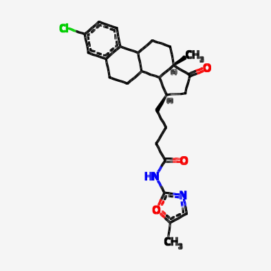 Cc1cnc(NC(=O)CCC[C@@H]2CC(=O)[C@@]3(C)CCC4c5ccc(Cl)cc5CCC4C23)o1